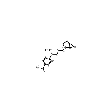 CC(=O)N(C)c1ccc(OCCCN2CCC3CC32)cc1.Cl